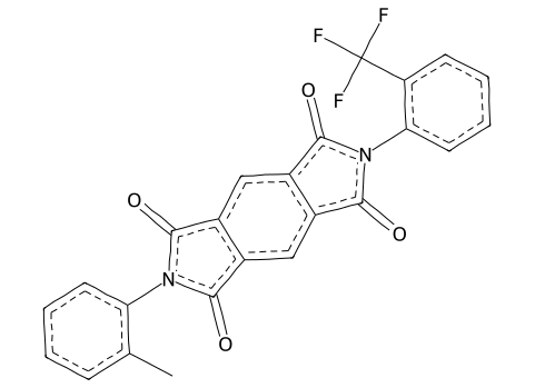 Cc1ccccc1-n1c(=O)c2cc3c(=O)n(-c4ccccc4C(F)(F)F)c(=O)c3cc2c1=O